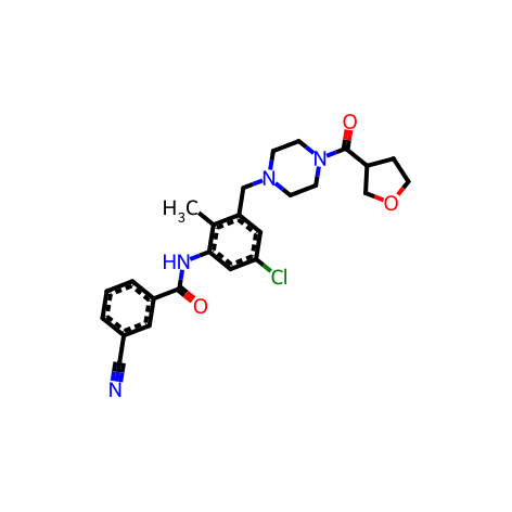 Cc1c(CN2CCN(C(=O)C3CCOC3)CC2)cc(Cl)cc1NC(=O)c1cccc(C#N)c1